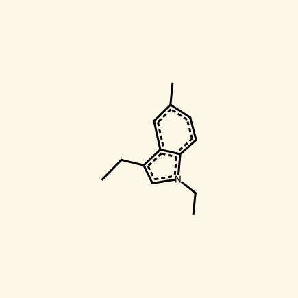 C[CH]c1cn(CC)c2ccc(C)cc12